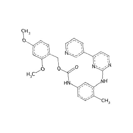 COc1ccc(COC(=O)Nc2ccc(C)c(Nc3nccc(-c4cccnc4)n3)c2)c(OC)c1